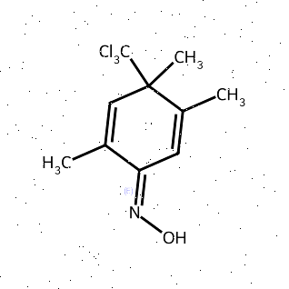 CC1=CC(C)(C(Cl)(Cl)Cl)C(C)=C/C1=N\O